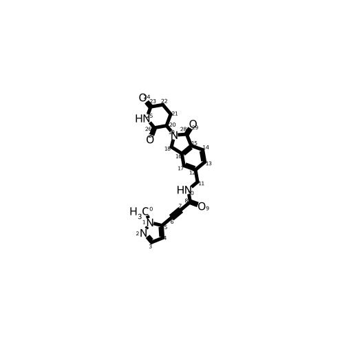 Cn1nccc1C#CC(=O)NCc1ccc2c(c1)CN(C1CCC(=O)NC1=O)C2=O